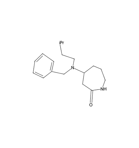 CC(C)CCN(Cc1ccccc1)C1CCCNC(=O)C1